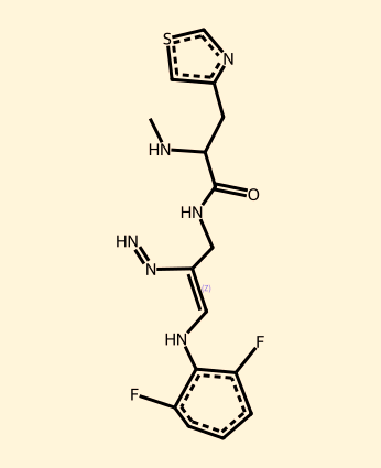 CNC(Cc1cscn1)C(=O)NC/C(=C/Nc1c(F)cccc1F)N=N